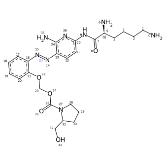 NCCCC[C@H](N)C(=O)Nc1ccc(/N=N/c2ccccc2OCOC(=O)N2CCCC2CO)c(N)n1